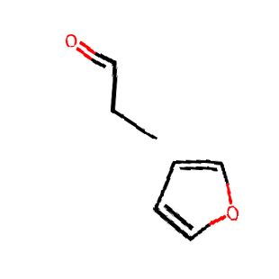 CCC=O.c1ccoc1